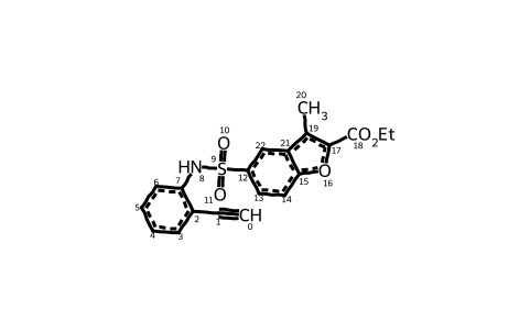 C#Cc1ccccc1NS(=O)(=O)c1ccc2oc(C(=O)OCC)c(C)c2c1